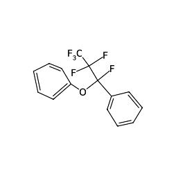 FC(F)(F)C(F)(F)C(F)(Oc1ccccc1)c1ccccc1